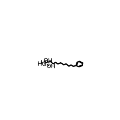 O[PH](O)(O)CCCCCCCCCCc1ccccc1